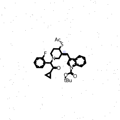 CC(=O)SC1CCN(C(C(=O)C2CC2)c2ccccc2F)C/C1=C\c1cn(C(=O)OC(C)(C)C)c2ccccc12